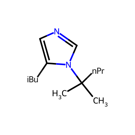 CCCC(C)(C)n1cncc1C(C)CC